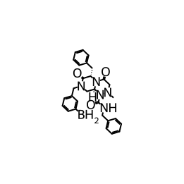 Bc1cccc(CN2C[C@H]3N(C(=O)CN(C)N3C(=O)NCc3ccccc3)[C@@H](Cc3ccccc3)C2=O)c1